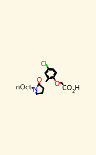 CCCCCCCCN1CCCC1=O.Cc1cc(Cl)ccc1OCC(=O)O